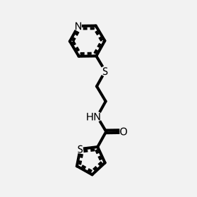 O=C(NCCSc1ccncc1)c1cccs1